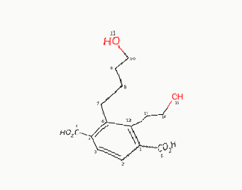 O=C(O)c1ccc(C(=O)O)c(CCCCO)c1CCO